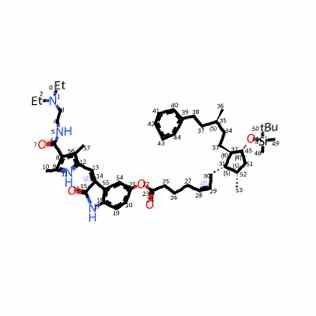 CCN(CC)CCNC(=O)c1c(C)[nH]c(/C=C2\C(=O)Nc3ccc(OC(=O)CCC/C=C\C[C@@H]4[C@@H](CC[C@H](C)CCc5ccccc5)[C@H](O[Si](C)(C)C(C)(C)C)C[C@@H]4C)cc32)c1C